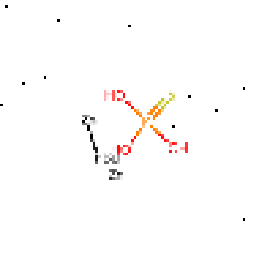 CCC[CH2][Zn].OP(O)(O)=S.[Zn]